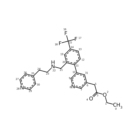 CCOC(=O)Cc1cncc(-c2ccc(C(F)(F)F)cc2CNCCc2ccncc2)c1